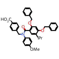 COc1ccc(N(Cc2ccc(C(=O)O)cc2)C(=O)c2cc(C(C)C)c(OCc3ccccc3)cc2OCc2ccccc2)cc1